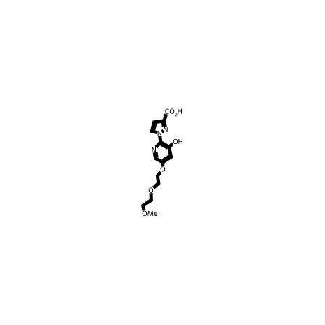 COCCOCCOc1cnc(-n2ccc(C(=O)O)n2)c(O)c1